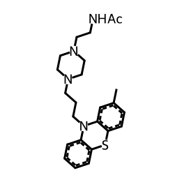 CC(=O)NCCN1CCN(CCCN2c3ccccc3Sc3ccc(C)cc32)CC1